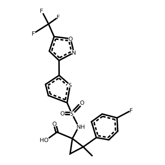 CC1(c2ccc(F)cc2)CC1(NS(=O)(=O)c1ccc(-c2cc(C(F)(F)F)on2)s1)C(=O)O